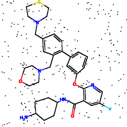 NC1CCC(NC(=O)c2cc(F)cnc2Oc2cccc(-c3ccc(CN4CCSCC4)cc3CN3CCOCC3)c2)CC1